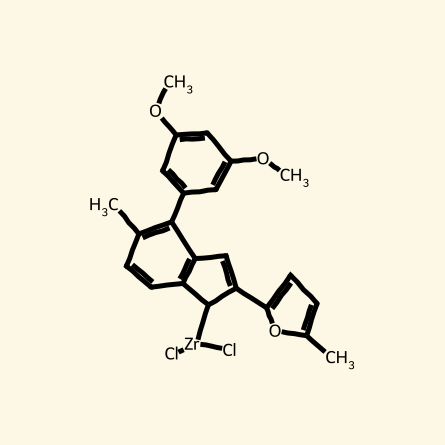 COc1cc(OC)cc(-c2c(C)ccc3c2C=C(c2ccc(C)o2)[CH]3[Zr]([Cl])[Cl])c1